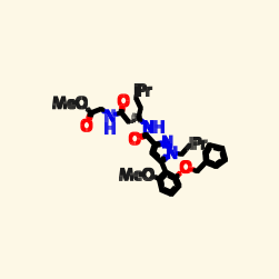 COC(=O)CNC(=O)C[C@H](CCC(C)C)NC(=O)c1cc(-c2c(OC)cccc2OCc2ccccc2)n(CC(C)C)n1